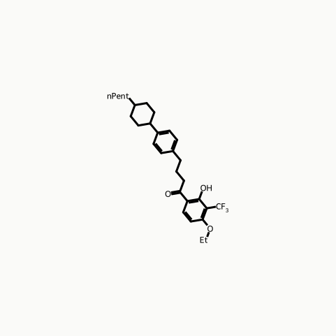 CCCCCC1CCC(c2ccc(CCCC(=O)c3ccc(OCC)c(C(F)(F)F)c3O)cc2)CC1